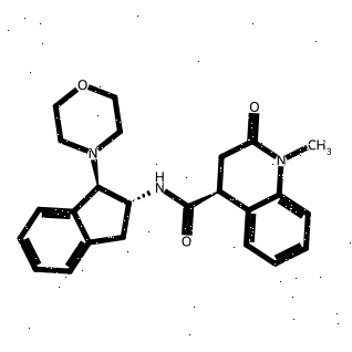 CN1C(=O)C[C@H](C(=O)N[C@@H]2Cc3ccccc3[C@H]2N2CCOCC2)c2ccccc21